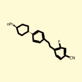 CCC[C@H]1CC[C@H](c2ccc(CCc3ccc(C#N)cc3F)cc2)CC1